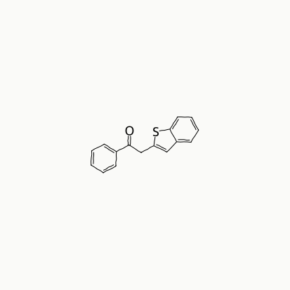 O=C(Cc1cc2ccccc2s1)c1ccccc1